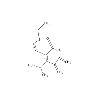 C=CC(=C)/C(=C(/C=C\SCC)C(C)=O)C(C)C